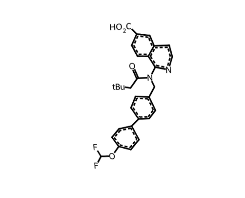 CC(C)(C)CC(=O)N(Cc1ccc(-c2ccc(OC(F)F)cc2)cc1)c1nccc2cc(C(=O)O)ccc12